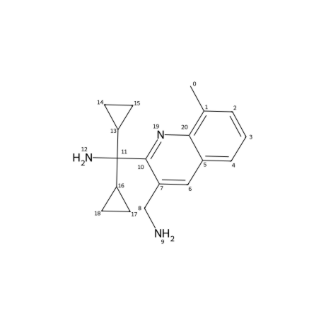 Cc1cccc2cc(CN)c(C(N)(C3CC3)C3CC3)nc12